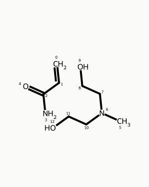 C=CC(N)=O.CN(CCO)CCO